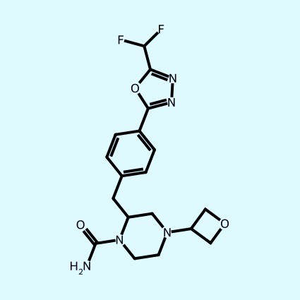 NC(=O)N1CCN(C2COC2)CC1Cc1ccc(-c2nnc(C(F)F)o2)cc1